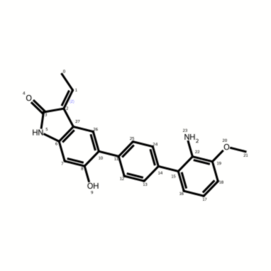 C/C=C1\C(=O)Nc2cc(O)c(-c3ccc(-c4cccc(OC)c4N)cc3)cc21